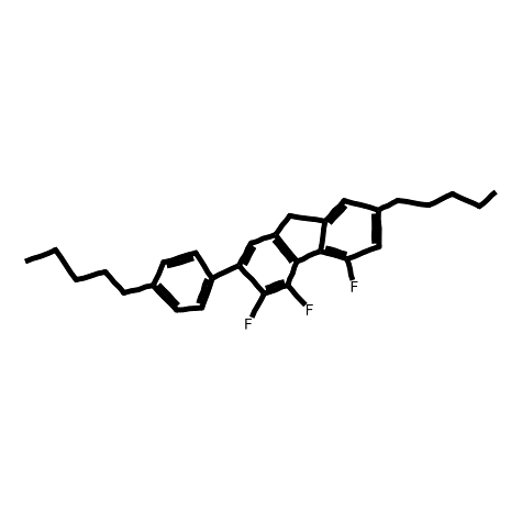 CCCCCc1ccc(-c2cc3c(c(F)c2F)-c2c(F)cc(CCCCC)cc2C3)cc1